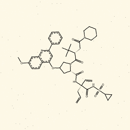 C=CC[C@@](C=C)(NC(=O)[C@@H]1CC(Oc2cc(-c3ccccc3)nc3cc(OC)ccc23)CN1C(=O)[C@@H](CC(=O)N1CCCCC1)C(C)(C)C)C(=O)NS(=O)(=O)C1CC1